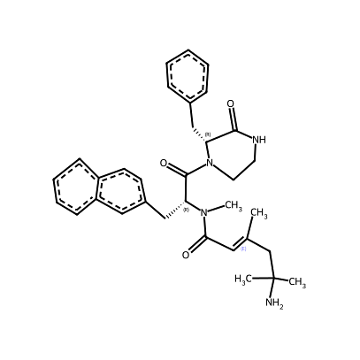 C/C(=C\C(=O)N(C)[C@H](Cc1ccc2ccccc2c1)C(=O)N1CCNC(=O)[C@H]1Cc1ccccc1)CC(C)(C)N